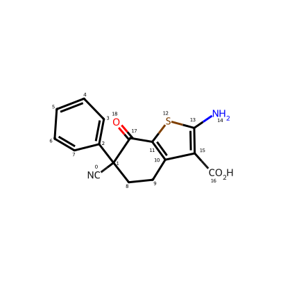 N#CC1(c2ccccc2)CCc2c(sc(N)c2C(=O)O)C1=O